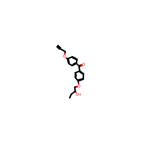 C#CCOc1ccc(C(=O)c2ccc(OCC(O)CC)cc2)cc1